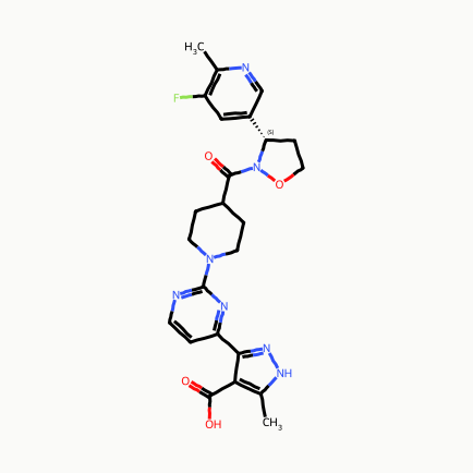 Cc1ncc([C@@H]2CCON2C(=O)C2CCN(c3nccc(-c4n[nH]c(C)c4C(=O)O)n3)CC2)cc1F